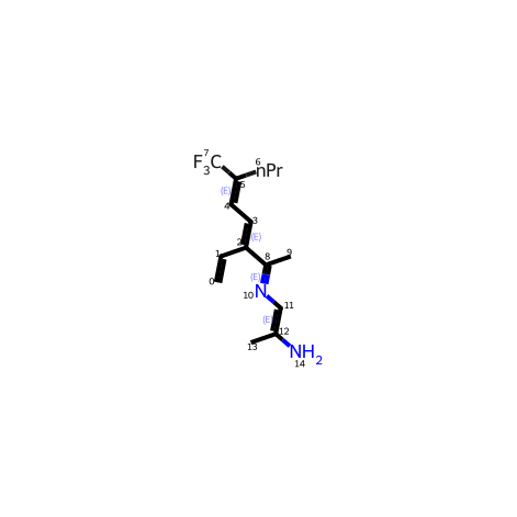 C=CC(=C\C=C(/CCC)C(F)(F)F)/C(C)=N/C=C(\C)N